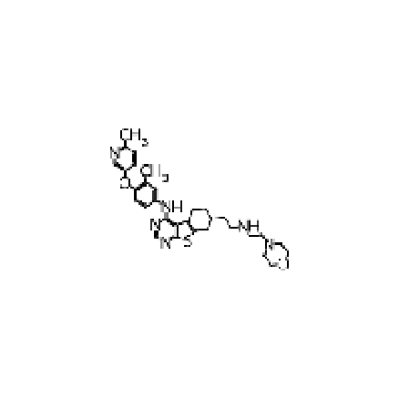 Cc1ccc(Oc2ccc(Nc3ncnc4sc5c(c34)CCC(CCNCCN3CCOCC3)C5)cc2C)cn1